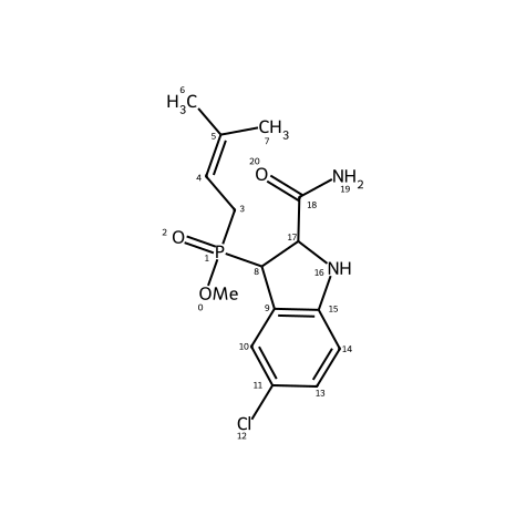 COP(=O)(CC=C(C)C)C1c2cc(Cl)ccc2NC1C(N)=O